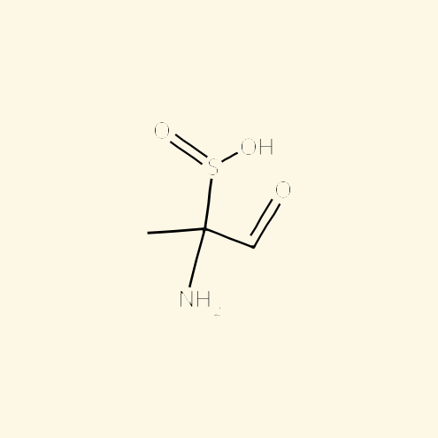 CC(N)(C=O)S(=O)O